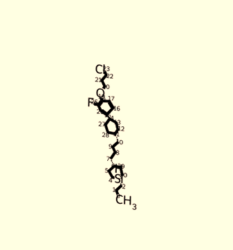 CCC[Si@H]1CC[C@H](CCCC[C@H]2CC[C@H](c3ccc(OCCCCl)c(F)c3)CC2)CC1